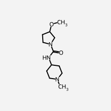 COC1CCN(C(=O)NC2CCN(C)CC2)C1